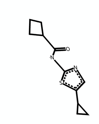 O=C([N]c1ncc(C2CC2)s1)C1CCC1